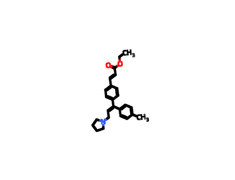 CCOC(=O)/C=C/c1ccc(C(=CCN2CCCC2)c2ccc(C)cc2)cc1